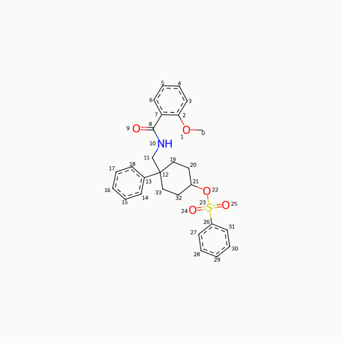 COc1ccccc1C(=O)NCC1(c2ccccc2)CCC(OS(=O)(=O)c2ccccc2)CC1